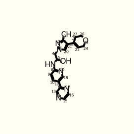 Cc1nn(CC(O)Nc2ccc(-c3cnccn3)cn2)cc1C1=CCOCC1